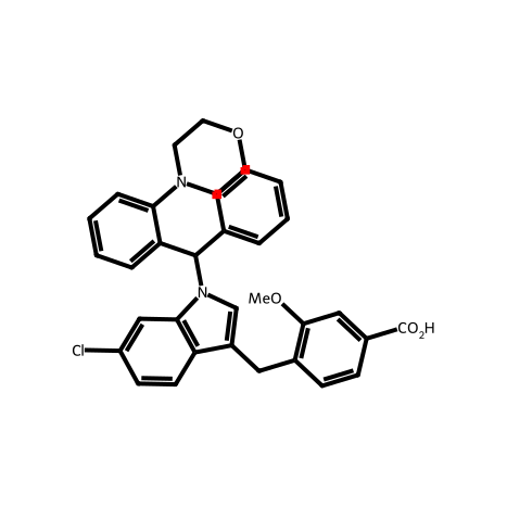 COc1cc(C(=O)O)ccc1Cc1cn(C(c2ccccc2)c2ccccc2N2CCOCC2)c2cc(Cl)ccc12